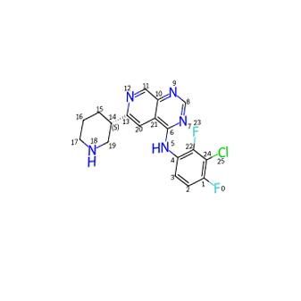 Fc1ccc(Nc2ncnc3cnc([C@H]4CCCNC4)cc23)c(F)c1Cl